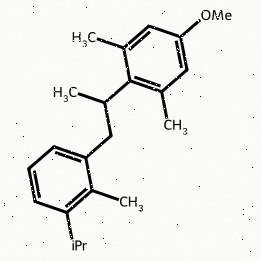 COc1cc(C)c(C(C)Cc2cccc(C(C)C)c2C)c(C)c1